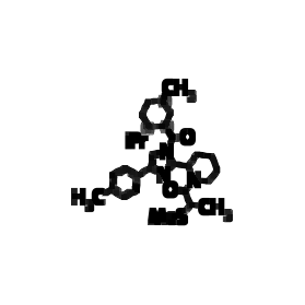 CSC(C)C(=O)N1CCCCC1c1nc(-c2ccc(C)cc2)cn1C(=O)[C@@H]1C[C@H](C)CC[C@H]1C(C)C